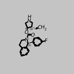 C=C[C@H]1CNC[C@@H]1OC(=O)N1CCc2ccccc2[C@@H]1c1ccc(F)cc1